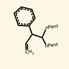 C=CC(c1ccccc1)C(CCCCC)CCCCC